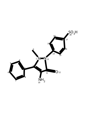 Cn1c(-c2ccccc2)c(N)c(=O)n1-c1ccc(S(=O)(=O)O)cc1